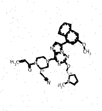 C=CC(=O)N1CCN(c2nc(OC[C@@H]3CCCN3C)nn3c(-c4cc(OC)cc5ccccc45)cnc23)C[C@@H]1CC#N